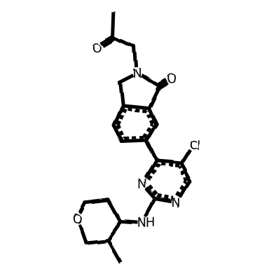 CC(=O)CN1Cc2ccc(-c3nc(NC4CCOCC4C)ncc3Cl)cc2C1=O